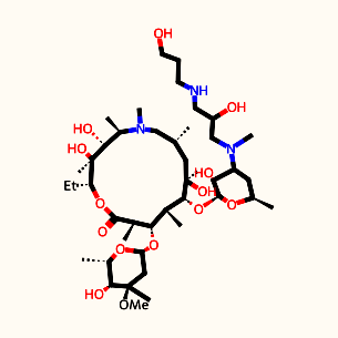 CC[C@H]1OC(=O)[C@H](C)[C@@H](O[C@H]2C[C@@](C)(OC)[C@@H](O)[C@H](C)O2)[C@H](C)[C@@H](O[C@@H]2O[C@H](C)CC(N(C)CC(O)CNCCCO)[C@H]2O)[C@](C)(O)C[C@@H](C)CN(C)[C@H](C)[C@@H](O)[C@]1(C)O